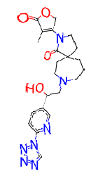 CC1=C(N2CCC3(CCCN(CC(O)c4ccc(-n5cnnn5)nc4)CC3)C2=O)COC1=O